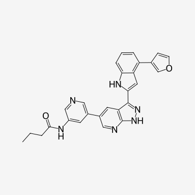 CCCC(=O)Nc1cncc(-c2cnc3[nH]nc(-c4cc5c(-c6ccoc6)cccc5[nH]4)c3c2)c1